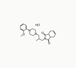 COc1ccccc1N1CCN(CC(C)CN2C(=O)C3CC=CCC3C2=O)CC1.Cl